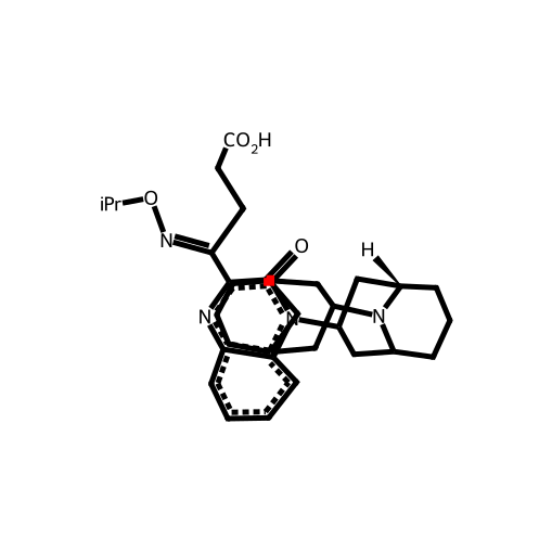 CC(C)ON=C(CCC(=O)O)c1nc2ccccc2n(C2CC3CCC[C@@H](C2)N3C2CC3CCCC(C3)C2)c1=O